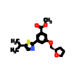 COC(=O)c1cc(OC[C@@H]2CCCO2)cc(-c2ncc(C(C)C)s2)c1